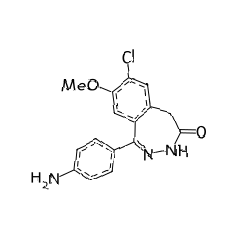 COc1cc2c(cc1Cl)CC(=O)NN=C2c1ccc(N)cc1